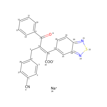 N#Cc1ccc(C/C(C(=O)c2ccccc2)=C(\C(=O)[O-])c2ccc3nsnc3c2)cc1.[Na+]